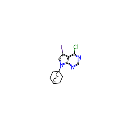 Clc1ncnc2c1c(I)cn2C12CCC(CC1)CC2